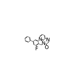 O=c1cnc2cccnc2n1Cc1ccc(-c2ccccc2)cc1F